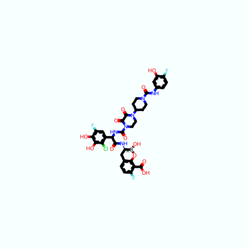 O=C(O)c1c(F)ccc2c1OB(O)[C@@H](NC(=O)C(NC(=O)N1CCN(C3CCN(C(=O)Nc4ccc(F)c(O)c4)CC3)C(=O)C1=O)c1cc(F)c(O)c(O)c1Cl)C2